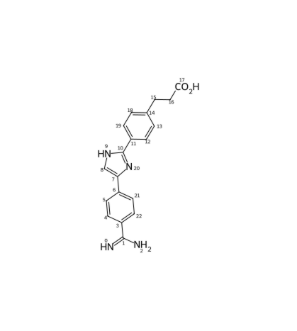 N=C(N)c1ccc(-c2c[nH]c(-c3ccc(CCC(=O)O)cc3)n2)cc1